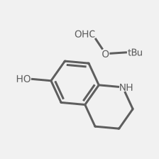 CC(C)(C)OC=O.Oc1ccc2c(c1)CCCN2